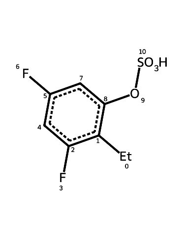 CCc1c(F)cc(F)cc1OS(=O)(=O)O